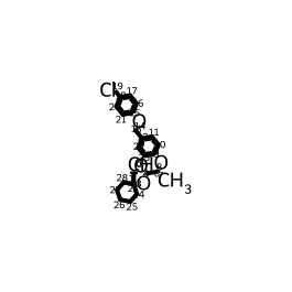 C#CC1(OC(=O)C(C)Oc2ccc(COc3ccc(Cl)cc3)cc2)CCCCC1